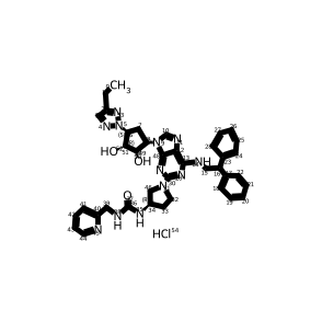 CCc1cnn([C@H]2C[C@@H](n3cnc4c(NCC(c5ccccc5)c5ccccc5)nc(N5CC[C@@H](NC(=O)NCc6ccccn6)C5)nc43)[C@H](O)[C@@H]2O)n1.Cl